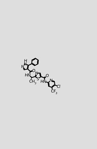 C[C@@H](NC(=O)c1cn[nH]c1-c1ccccc1)c1ncc(C(=O)Nc2cc(C(F)(F)F)c(Cl)cn2)s1